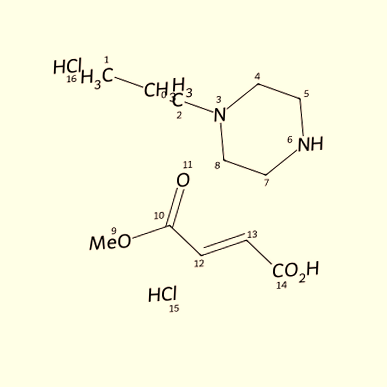 CC.CN1CCNCC1.COC(=O)C=CC(=O)O.Cl.Cl